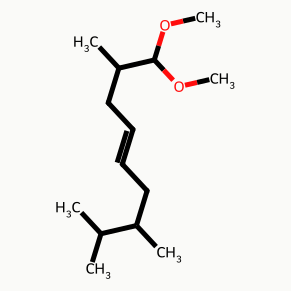 COC(OC)C(C)C/C=C/CC(C)C(C)C